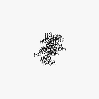 CC1O[C@@H](O[C@@H]2C(CO)O[C@@H](OC3C(O[C@@H]4C(O)[C@H](O[C@@H]5C(CO)O[C@@H](O[C@@H]6C(CO)O[C@@H](C)[C@@H](C)C6O)[C@@H](C)C5O)OC(CO[C@H]5OC(CO)[C@@H](O)C(O)[C@H]5O)[C@H]4O)O[C@H](CO)[C@@H](O)C3O)[C@@H](C)C2O)[C@@H](O)C(O[C@]2(C(=O)O)C[C@@H](O)[C@@H](N)C(C(O)[C@H](O)CO)O2)[C@H]1C(O)O